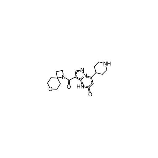 O=C(c1cnn2c(C3CCNCC3)cc(=O)[nH]c12)N1CCC12CCOCC2